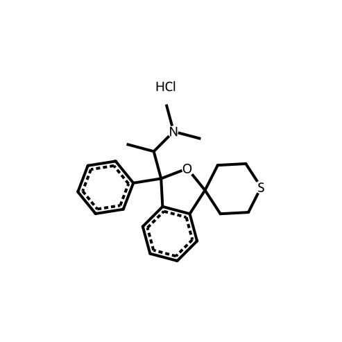 CC(N(C)C)C1(c2ccccc2)OC2(CCSCC2)c2ccccc21.Cl